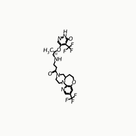 C[C@@H](CNCCC(=O)N1CCN2c3ncc(C(F)(F)F)cc3OCCC2C1)Oc1cn[nH]c(=O)c1C(F)(F)F